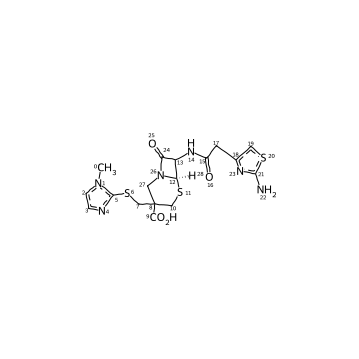 Cn1ccnc1SCC1(C(=O)O)CS[C@@H]2C(NC(=O)Cc3csc(N)n3)C(=O)N2C1